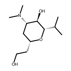 CC(C)[C@@H]1O[C@H](CCO)C[C@H](N(C)C)[C@H]1O